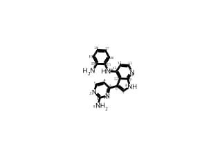 Nc1nccc(-c2c[nH]c3nccc(Nc4ccccc4N)c23)n1